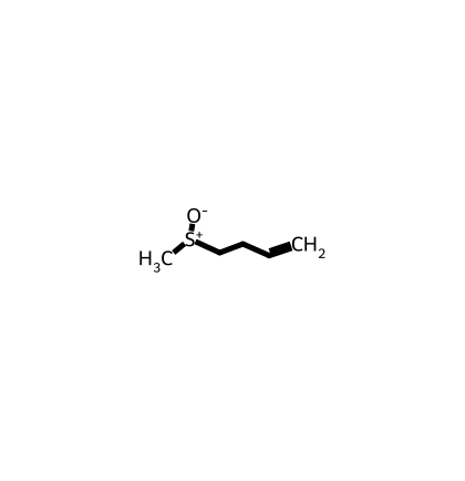 C=CCC[S+](C)[O-]